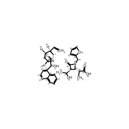 C=C[C@H]1C[N@]2CC[C@H]1C[C@H]2[C@H](O)c1ccnc2ccccc12.CC(O)[C@H]1C(=O)N(Cc2ccco2)[C@@H]1C(C)C(=O)O